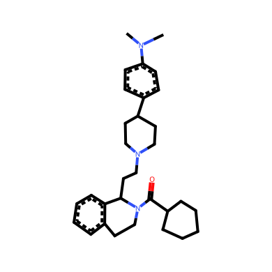 CN(C)c1ccc(C2CCN(CCC3c4ccccc4CCN3C(=O)C3CCCCC3)CC2)cc1